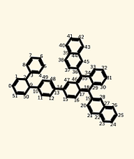 C1=CC(c2ccccc2)C(c2ccc(-c3ccc4c(-c5ccc6ccccc6c5)c5ccccc5c(-c5ccc6ccccc6c5)c4c3)cc2)C=C1